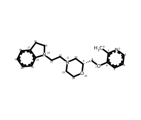 Cc1ncccc1OC[C@H]1CN(CCN2CCc3ccccc32)CCO1